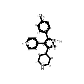 Cl.FC(F)(F)c1ccc(-c2n[nH]c(C3CCNCC3)c2-c2ccncc2)cc1